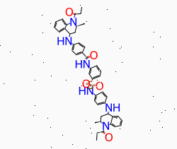 CCC(=O)N1c2ccccc2[C@H](Nc2ccc(NS(=O)(=O)c3cccc(NC(=O)c4ccc(N[C@@H]5C[C@H](C)N(C(=O)CC)c6ccccc65)cc4)c3)cc2)C[C@@H]1C